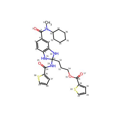 CN(C(=O)c1ccc2c(c1)NC(CCCOC(=O)c1cccs1)(NC(=O)c1cccs1)N2)C1CCCCC1